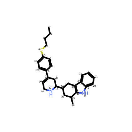 CCCCSc1ccc(C2=CCNC(C3Cc4c([nH]c5ccccc45)C(C)C3)C2)cc1